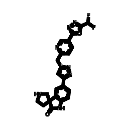 O=C1Nc2ccc(-c3cn(Cc4ccc(-c5nnc(C(F)F)o5)cn4)nn3)cc2C12CCNC2